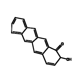 O=C1c2cc3cc4ccccc4cc3cc2C=CC1O